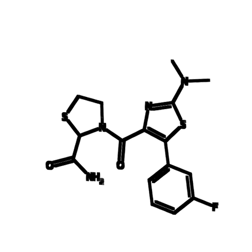 CN(C)c1nc(C(=O)N2CCSC2C(N)=O)c(-c2cccc(F)c2)s1